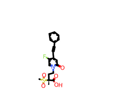 C[C@@](CCn1cc(F)c(C#Cc2ccccc2)cc1=O)(C(=O)O)S(C)(=O)=O